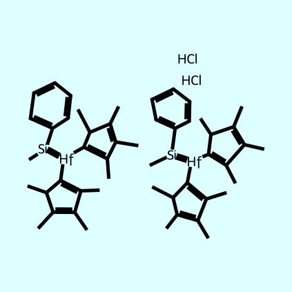 CC1=C(C)C(C)[C]([Hf]([C]2=C(C)C(C)=C(C)C2C)=[Si](C)c2ccccc2)=C1C.CC1=C(C)C(C)[C]([Hf]([C]2=C(C)C(C)=C(C)C2C)=[Si](C)c2ccccc2)=C1C.Cl.Cl